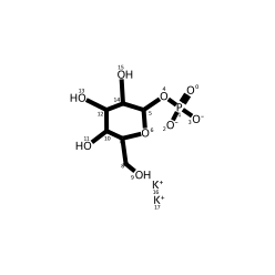 O=P([O-])([O-])OC1OC(CO)C(O)C(O)C1O.[K+].[K+]